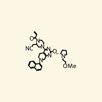 C=CC(=O)N1CCN(c2nc(OC[C@@H]3CCCN3CCOC)nc3c2CCN(c2cccc4ccccc24)C3)CC1CC#N